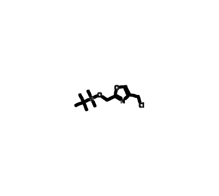 CC(C)(C)[Si](C)(C)OCc1nc(CCl)co1